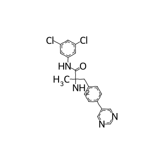 CC(N)(Cc1ccc(-c2cncnc2)cc1)C(=O)Nc1cc(Cl)cc(Cl)c1